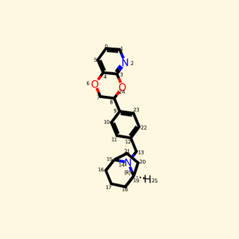 c1cnc2c(c1)OCC(c1ccc(CN3C4CCC[C@@H]3CC4)cc1)O2